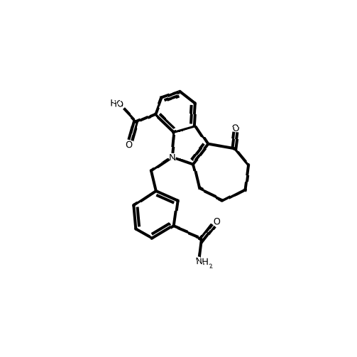 NC(=O)c1cccc(Cn2c3c(c4cccc(C(=O)O)c42)C(=O)CCCC3)c1